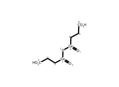 O=C(O)C[CH2][Ge](=[O])[O][Ge](=[O])[CH2]CC(=O)O